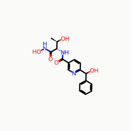 C[C@@H](O)[C@H](NC(=O)c1ccc(C(O)c2ccccc2)nc1)C(=O)NO